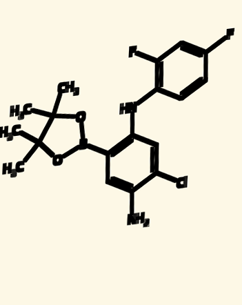 CC1(C)OB(c2cc(N)c(Cl)cc2Nc2ccc(F)cc2F)OC1(C)C